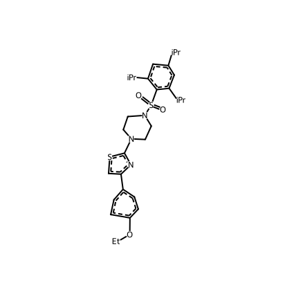 CCOc1ccc(-c2csc(N3CCN(S(=O)(=O)c4c(C(C)C)cc(C(C)C)cc4C(C)C)CC3)n2)cc1